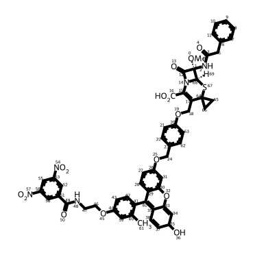 CO[C@@]1(NC(=O)Cc2ccccc2)C(=O)N2C(C(=O)O)=C(COc3ccc(COc4ccc5c(c4)OC4=CC(O)C=CC4=C5c4ccc(OCCNC(=O)c5cc([N+](=O)[O-])cc([N+](=O)[O-])c5)cc4C)cc3)C3(CC3)S[C@@H]21